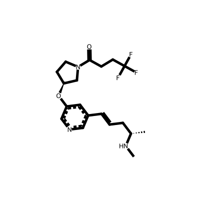 CN[C@@H](C)CC=Cc1cncc(O[C@H]2CCN(C(=O)CCC(F)(F)F)C2)c1